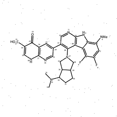 CNc1cc(F)c(F)c2c1[nH]c1ncc(-c3cnc4[nH]cc(C(=O)O)c(=O)c4c3)c(N3CC4CCC(N(C)C)C4C3)c12